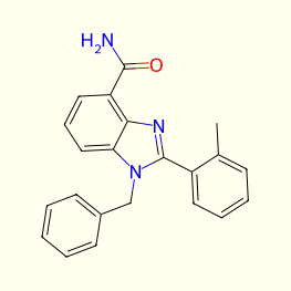 Cc1ccccc1-c1nc2c(C(N)=O)cccc2n1Cc1ccccc1